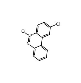 [O-][n+]1nc2ccccc2c2cc(Cl)ccc21